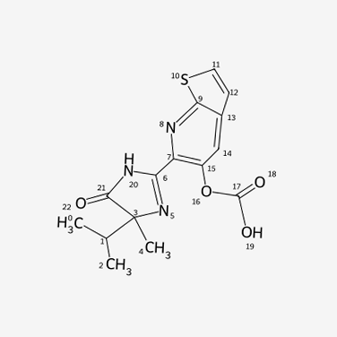 CC(C)C1(C)N=C(c2nc3sccc3cc2OC(=O)O)NC1=O